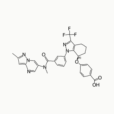 Cc1cc2ncc(N(C)C(=O)c3cccc(-n4nc(C(F)(F)F)c5c4[C@H](Oc4ccc(C(=O)O)cc4)CCC5)c3)cn2n1